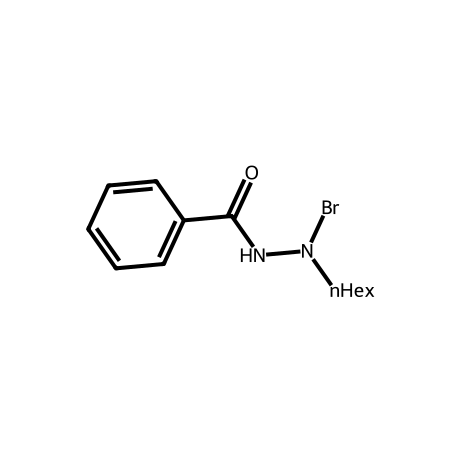 CCCCCCN(Br)NC(=O)c1ccccc1